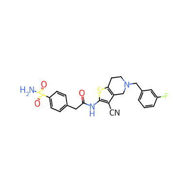 N#Cc1c(NC(=O)Cc2ccc(S(N)(=O)=O)cc2)sc2c1CN(Cc1cccc(F)c1)CC2